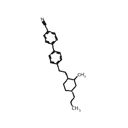 CCCC1CCC(CCc2ccc(-c3ccc(C#N)cc3)cc2)C(C)C1